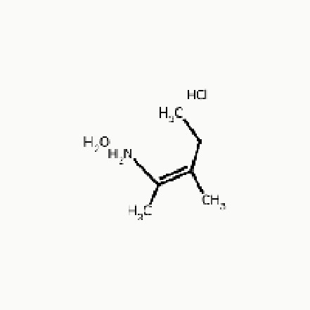 CCC(C)=C(C)N.Cl.O